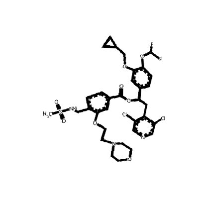 CS(=O)(=O)NCc1ccc(C(=O)OC(Cc2c(Cl)cncc2Cl)c2ccc(OC(F)F)c(OCC3CC3)c2)cc1OCCN1CCOCC1